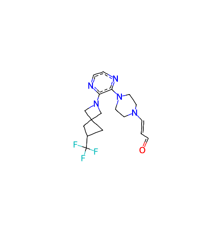 O=CC=CN1CCN(c2nccnc2N2CC3(CC(C(F)(F)F)C3)C2)CC1